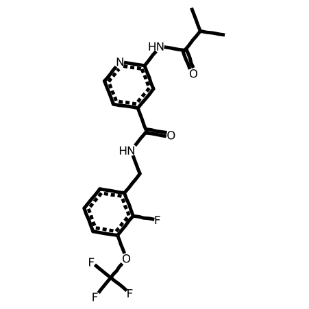 CC(C)C(=O)Nc1cc(C(=O)NCc2cccc(OC(F)(F)F)c2F)ccn1